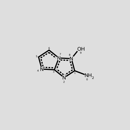 Nc1nc2nccn2n1O